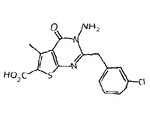 Cc1c(C(=O)O)sc2nc(Cc3cccc(Cl)c3)n(N)c(=O)c12